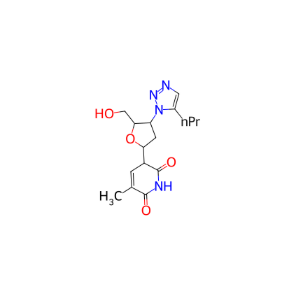 CCCc1cnnn1C1CC(C2C=C(C)C(=O)NC2=O)OC1CO